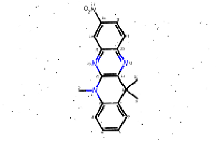 CN1c2ccccc2C(C)(C)c2nc3ccc([N+](=O)[O-])cc3nc21